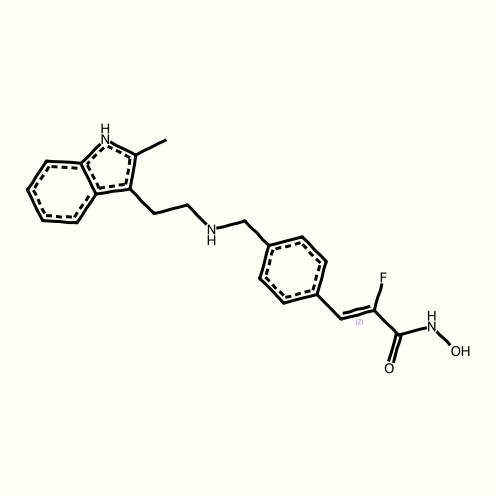 Cc1[nH]c2ccccc2c1CCNCc1ccc(/C=C(\F)C(=O)NO)cc1